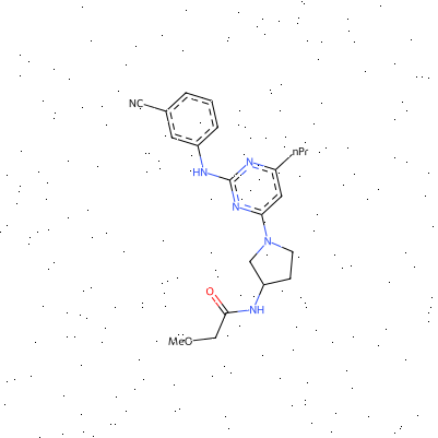 CCCc1cc(N2CCC(NC(=O)COC)C2)nc(Nc2cccc(C#N)c2)n1